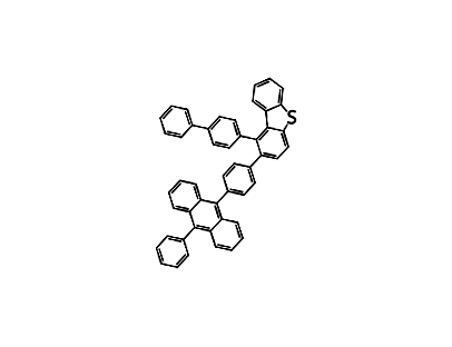 c1ccc(-c2ccc(-c3c(-c4ccc(-c5c6ccccc6c(-c6ccccc6)c6ccccc56)cc4)ccc4sc5ccccc5c34)cc2)cc1